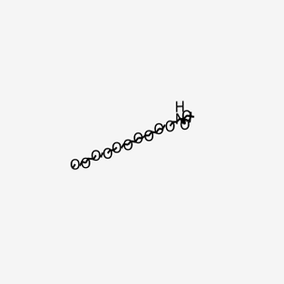 COCCOCCOCCOCCOCCOCCOCCOCCOCCOCCNC(=O)OC(C)(C)C